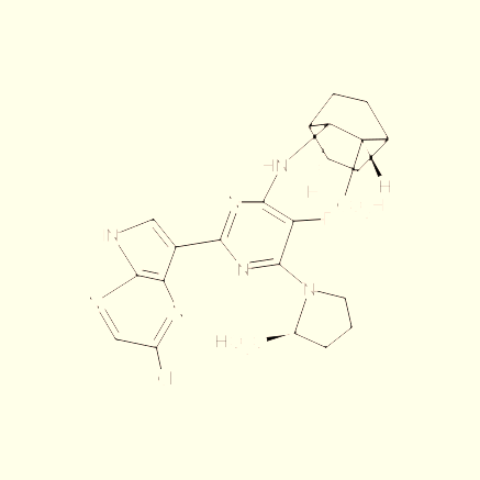 O=C(O)[C@H]1C2CCC(CC2)[C@@H]1Nc1nc(-c2c[nH]c3ncc(Cl)nc23)nc(N2CCC[C@H]2C(=O)O)c1F